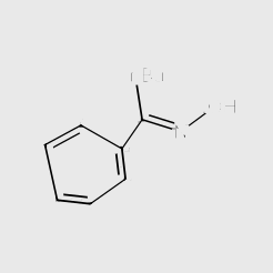 CCCC/C(=N\O)c1ccccc1